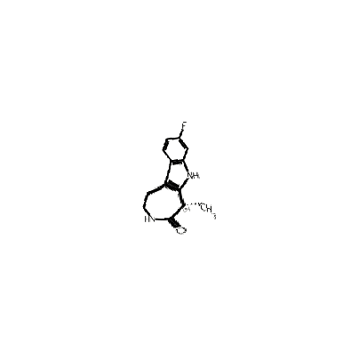 C[C@@H]1C(=O)NCCc2c1[nH]c1cc(F)ccc21